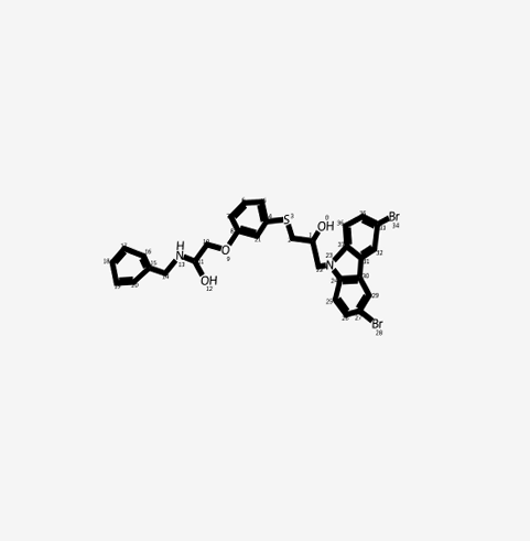 OC(CSc1cccc(OCC(O)NCc2ccccc2)c1)Cn1c2ccc(Br)cc2c2cc(Br)ccc21